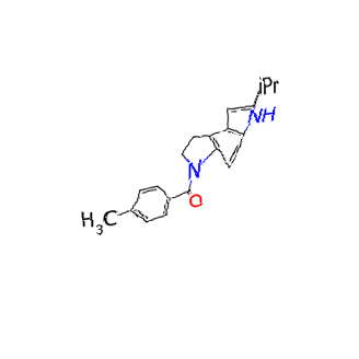 Cc1ccc(C(=O)N2CCc3c2ccc2[nH]c(C(C)C)cc32)cc1